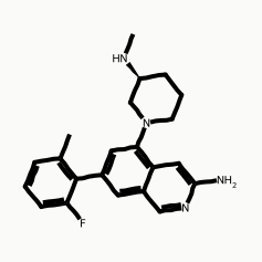 CN[C@H]1CCCN(c2cc(-c3c(C)cccc3F)cc3cnc(N)cc23)C1